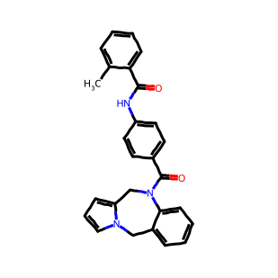 Cc1ccccc1C(=O)Nc1ccc(C(=O)N2Cc3cccn3Cc3ccccc32)cc1